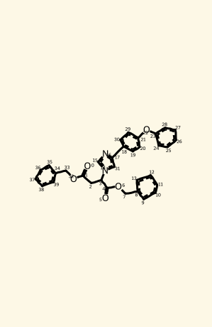 O=C(CC(C(=O)OCc1ccccc1)n1cnc(-c2ccc(Oc3ccccc3)cc2)c1)OCc1ccccc1